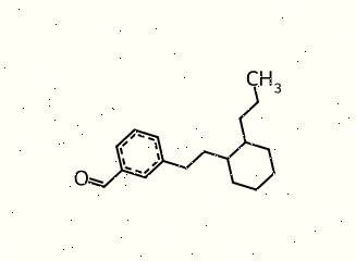 CCCC1CCCCC1CCc1cccc(C=O)c1